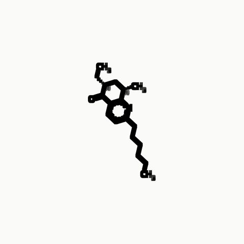 CCCCCCc1ccc2c(n1)[C@@H](C)C[C@@H](CC)C2=O